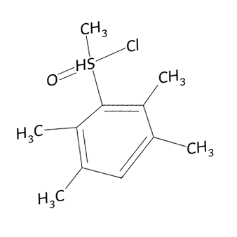 Cc1cc(C)c(C)c([SH](C)(=O)Cl)c1C